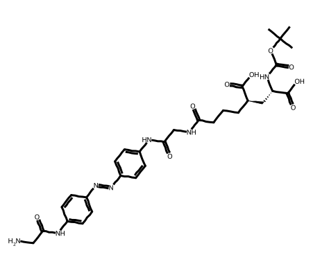 CC(C)(C)OC(=O)N[C@@H](C[C@@H](CCCC(=O)NCC(=O)Nc1ccc(/N=N/c2ccc(NC(=O)CN)cc2)cc1)C(=O)O)C(=O)O